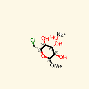 CO[C@H]1O[C@H](CCl)[C@@H](O)[C@H](O)[C@H]1O.[Na+].[OH-]